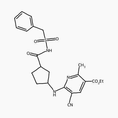 CCOC(=O)c1cc(C#N)c(NC2CCC(C(=O)NS(=O)(=O)Cc3ccccc3)C2)nc1C